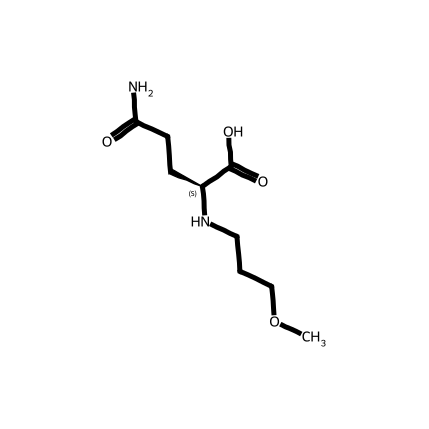 COCCCN[C@@H](CCC(N)=O)C(=O)O